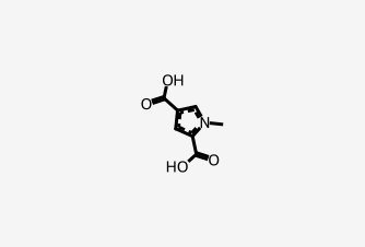 Cn1cc(C(=O)O)cc1C(=O)O